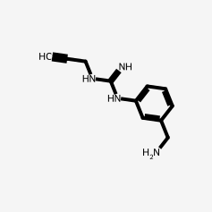 C#CCNC(=N)Nc1cccc(CN)c1